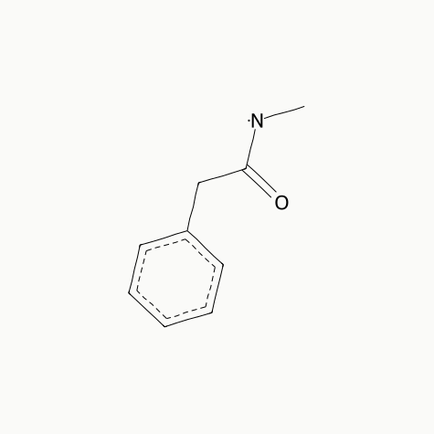 C[N]C(=O)Cc1ccccc1